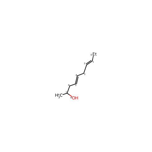 CC/C=C/CC=CCC(C)O